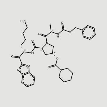 C[C@@H](NC(=O)OCc1ccccc1)C(=O)N1C[C@H](OC(=O)N2CCCCC2)C[C@H]1C(=O)N[C@@H](CCCCN)C(=O)c1nc2ccccc2o1